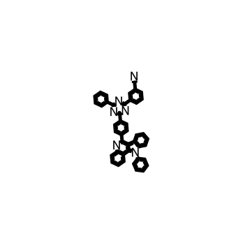 N#Cc1cccc(-c2nc(-c3ccccc3)nc(-c3ccc(-c4nc5ccccc5c5c4c4ccccc4n5-c4ccccc4)cc3)n2)c1